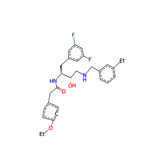 CCOc1ccc(CC(=O)N[C@@H](Cc2cc(F)cc(F)c2)[C@@H](O)CNCc2cccc(CC)c2)cc1